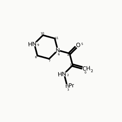 C=C(NCCC)C(=O)N1CCNCC1